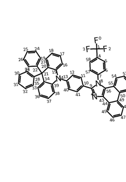 FC(F)(F)c1ccc(-n2c(-c3ccc(N4c5ccccc5C(c5ccccc5)(c5ccccc5)c5ccccc54)cc3)nc3c4ccccc4c4ccccc4c32)cc1